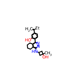 C=C(CC)c1ccc(-c2nnc(NC3CC(C)(O)C3)c3c2CCCC3)c(O)c1